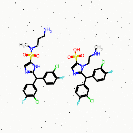 CN(CCCN)S(=O)(=O)c1cnc(C(c2ccc(F)c(Cl)c2)c2ccc(F)c(Cl)c2)[nH]1.CNCCn1c(S(=O)(=O)O)cnc1C(c1ccc(F)c(Cl)c1)c1ccc(F)c(Cl)c1